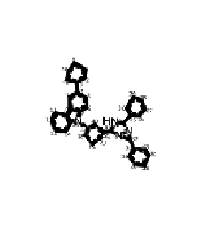 c1ccc(-c2ccc3c(c2)c2ccccc2n3-c2cccc(C3NC(c4ccccc4)N4C(c5ccccc5)N34)c2)cc1